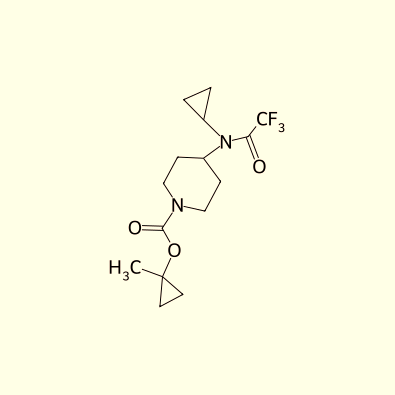 CC1(OC(=O)N2CCC(N(C(=O)C(F)(F)F)C3CC3)CC2)CC1